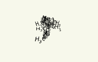 CCC(c1cc(S(=O)(=O)N2CCN(C)CC2)ccc1OCCC(C)C)C1[N]C(=S)c2[nH]ncc2N1C